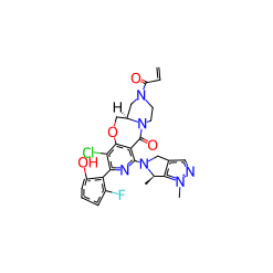 C=CC(=O)N1CCN2C(=O)c3c(N4Cc5cnn(C)c5[C@H]4C)nc(-c4c(O)cccc4F)c(Cl)c3OC[C@H]2C1